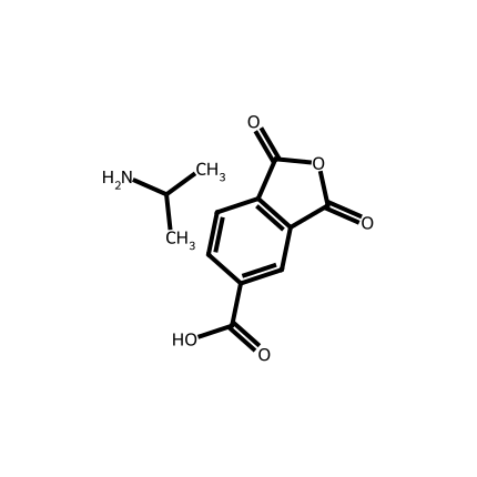 CC(C)N.O=C(O)c1ccc2c(c1)C(=O)OC2=O